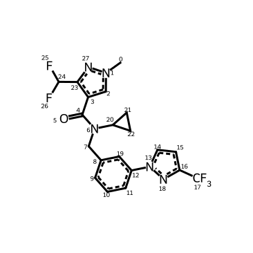 Cn1cc(C(=O)N(Cc2cccc(-n3ccc(C(F)(F)F)n3)c2)C2CC2)c(C(F)F)n1